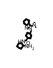 CN(C)c1c2ccccc2nn1Cc1ccc(C(=O)Nc2ccccc2N)cc1